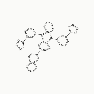 c1ccc2cc(-c3ccc4c(-c5ccnc(-c6cnco6)c5)c5ccccc5c(-c5ccnc(-c6cnco6)c5)c4c3)ccc2c1